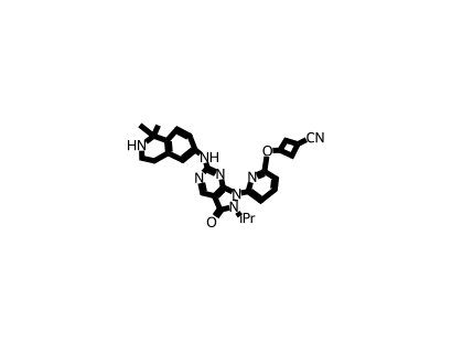 CC(C)n1c(=O)c2cnc(Nc3ccc4c(c3)CCNC4(C)C)nc2n1-c1cccc(OC2CC(C#N)C2)n1